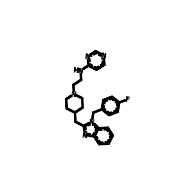 Fc1ccc(Cn2c(CC3CCN(CCNc4ccncn4)CC3)nc3ccccc32)cc1